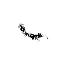 Cc1cc(SCC(=O)COc2ccc(C(F)(F)F)cc2)ccc1OCC1OC(C)O1